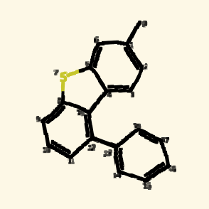 Cc1ccc2c(c1)sc1cccc(-c3ccccc3)c12